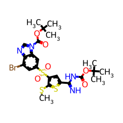 CSc1sc(C(=N)NC(=O)OC(C)(C)C)cc1S(=O)(=O)c1cc(Br)c2ncn(C(=O)OC(C)(C)C)c2c1